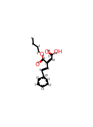 CCCCOC(=O)/C(C=Cc1ccccc1)=C\C(=O)O